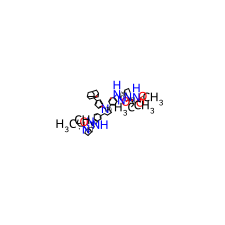 COC(=O)N[C@H](C(=O)N1CCC[C@H]1c1nc2cc([C@H]3CCC(c4ccc5nc([C@@H]6CCCN6C(=O)[CH]C(C)C)[nH]c5c4)N3c3ccc(C45CC6CC(CC(C6)C4)C5)cc3)ccc2[nH]1)C(C)C